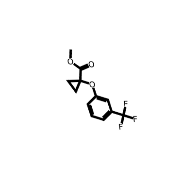 COC(=O)C1(Oc2cccc(C(F)(F)F)c2)CC1